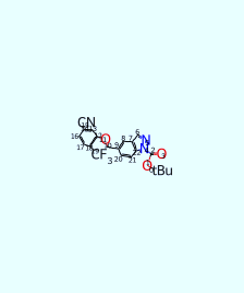 CC(C)(C)OC(=O)n1ncc2cc(COc3cc(C#N)ccc3C(F)(F)F)ccc21